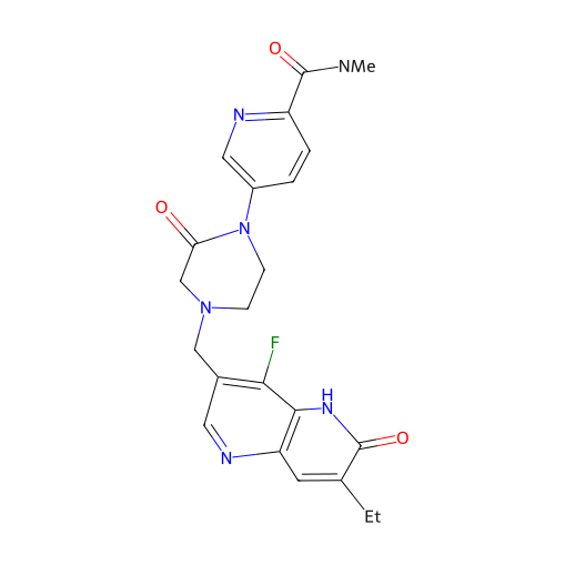 CCc1cc2ncc(CN3CCN(c4ccc(C(=O)NC)nc4)C(=O)C3)c(F)c2[nH]c1=O